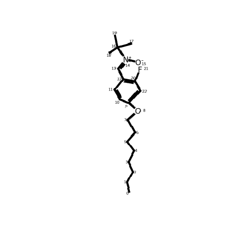 CCCCCCCCOc1ccc(C=[N+]([O-])C(C)(C)C)c(F)c1